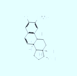 COc1cc2c(cc1O)C=C[C@@H]1[C@@H]2CC[C@]2(C)[C@@H](O)CC[C@@H]12